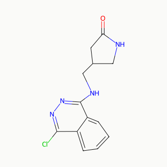 O=C1CC(CNc2nnc(Cl)c3ccccc23)CN1